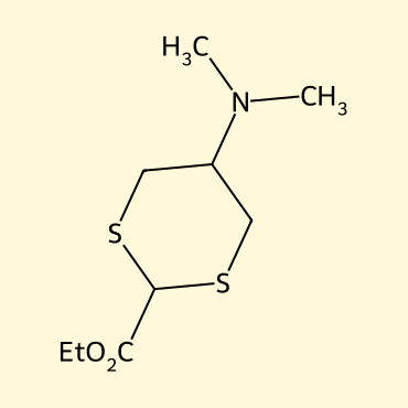 CCOC(=O)C1SCC(N(C)C)CS1